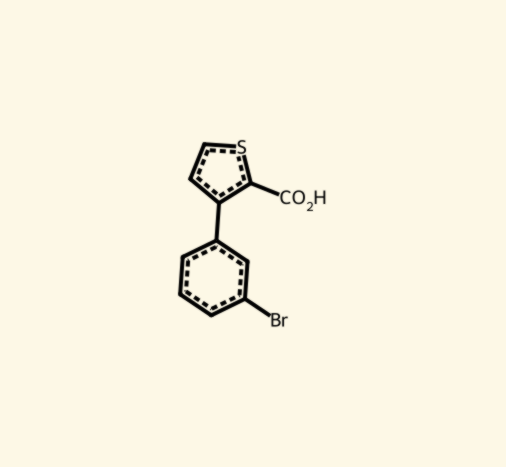 O=C(O)c1sccc1-c1cccc(Br)c1